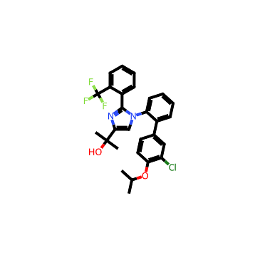 CC(C)Oc1ccc(-c2ccccc2-n2cc(C(C)(C)O)nc2-c2ccccc2C(F)(F)F)cc1Cl